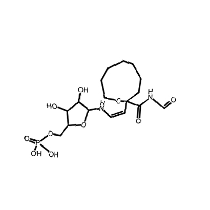 O=CNC(=O)C1(/C=C\NC2OC(COP(=O)(O)O)C(O)C2O)CCCCCCCC1